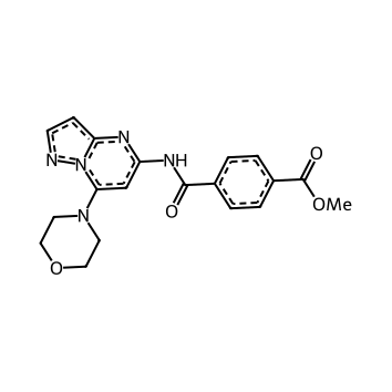 COC(=O)c1ccc(C(=O)Nc2cc(N3CCOCC3)n3nccc3n2)cc1